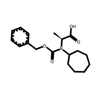 C[C@@H](C(=O)O)N(C(=O)OCc1ccccc1)C1CCCCCC1